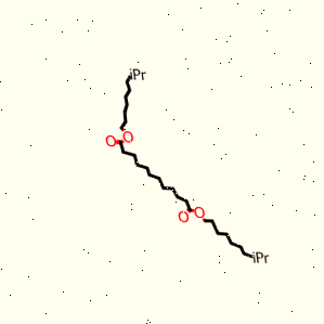 CC(C)CCCCCCCOC(=O)CCCCCCCCCCC(=O)OCCCCCCCC(C)C